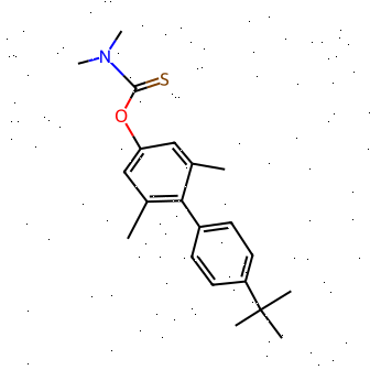 Cc1cc(OC(=S)N(C)C)cc(C)c1-c1ccc(C(C)(C)C)cc1